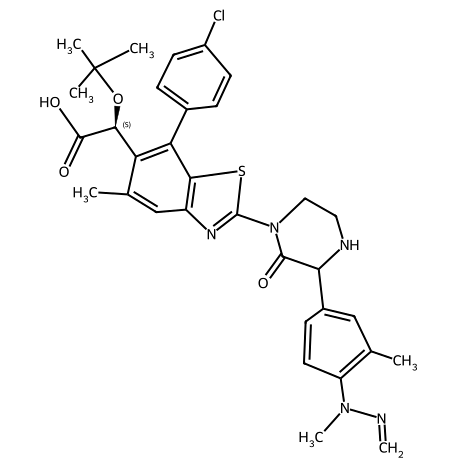 C=NN(C)c1ccc(C2NCCN(c3nc4cc(C)c([C@H](OC(C)(C)C)C(=O)O)c(-c5ccc(Cl)cc5)c4s3)C2=O)cc1C